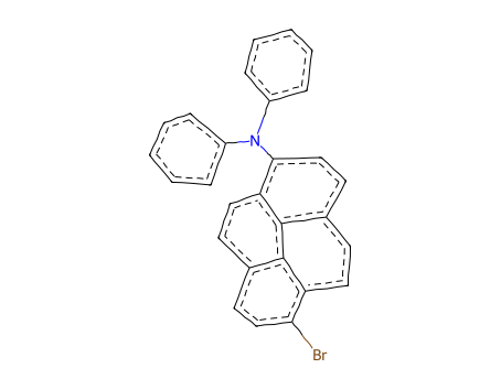 Brc1ccc2ccc3c(N(c4ccccc4)c4ccccc4)ccc4ccc1c2c43